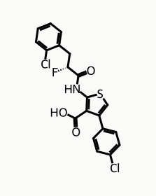 O=C(O)c1c(-c2ccc(Cl)cc2)csc1NC(=O)[C@H](F)Cc1ccccc1Cl